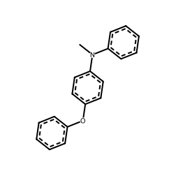 CN(c1ccccc1)c1ccc(Oc2ccccc2)cc1